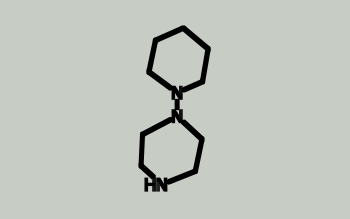 C1CCN(N2CCNCC2)CC1